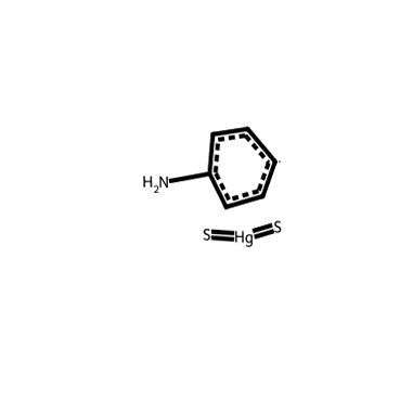 Nc1cc[c]cc1.[S]=[Hg]=[S]